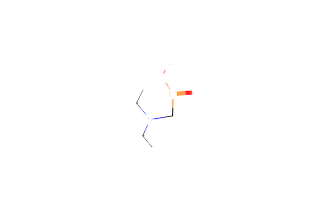 O=C(O)CN(CC(=O)O)C[PH](=O)OO